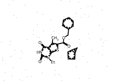 CCn1c(=O)[nH]c(=O)c2c(C)c(C(=O)OCc3ccccc3)sc21.c1cc2cc-2c1